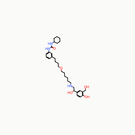 O=C(Nc1cccc(CCCCOCCCCCCNC[C@H](O)c2ccc(O)c(CO)c2)c1)NC1CCCCC1